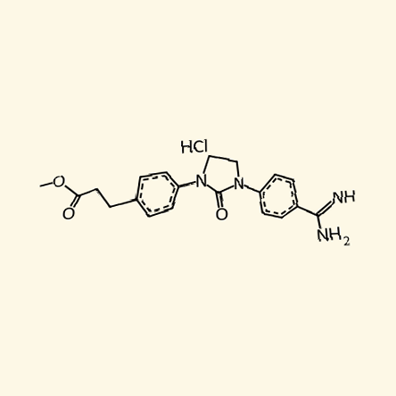 COC(=O)CCc1ccc(N2CCN(c3ccc(C(=N)N)cc3)C2=O)cc1.Cl